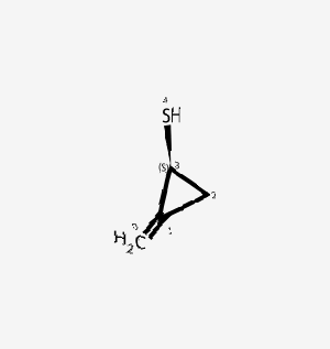 C=C1C[C@@H]1S